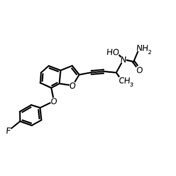 CC(C#Cc1cc2cccc(Oc3ccc(F)cc3)c2o1)N(O)C(N)=O